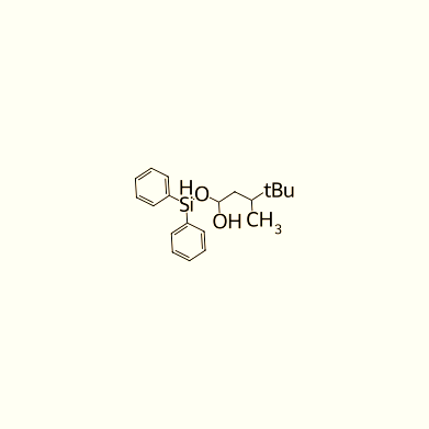 CC(CC(O)O[SiH](c1ccccc1)c1ccccc1)C(C)(C)C